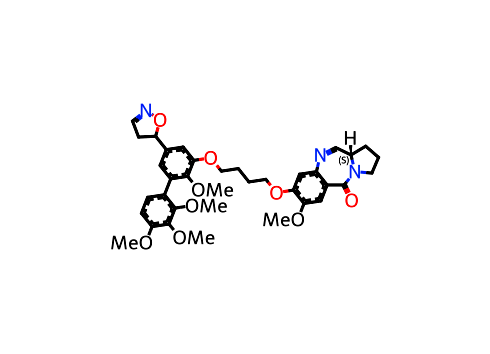 COc1cc2c(cc1OCCCCOc1cc(C3CC=NO3)cc(-c3ccc(OC)c(OC)c3OC)c1OC)N=C[C@@H]1CCCN1C2=O